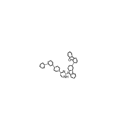 C1=CC(c2ccc(-c3cccc(-c4ccccc4)c3)cc2)=NC(n2c3ccccc3c3cc(-c4cccc5c4oc4ccccc45)ccc32)N1